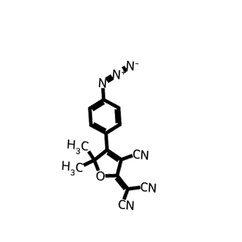 CC1(C)OC(=C(C#N)C#N)C(C#N)=C1c1ccc(N=[N+]=[N-])cc1